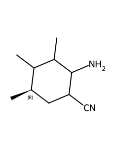 CC1C(N)C(C#N)C[C@@H](C)C1C